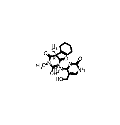 CN1C(=O)[C@@](C)(C2=CCCCC2)C(=O)N=C1O.Nc1nc(=O)[nH]cc1CO